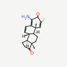 C[C@]12C=C(F)C(=O)C(N)=C1C=C[C@@H]1[C@@H]2CC[C@]2(C)C(=O)CC[C@@H]12